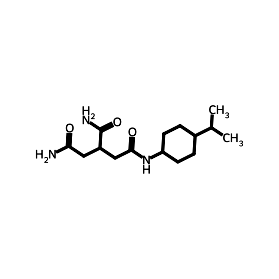 CC(C)C1CCC(NC(=O)CC(CC(N)=O)C(N)=O)CC1